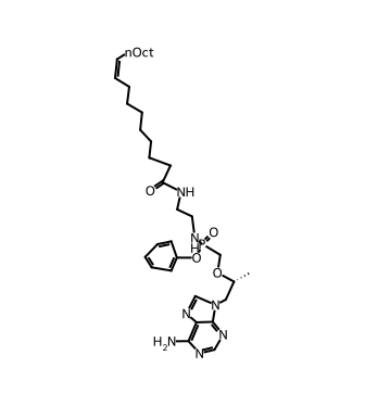 CCCCCCCC/C=C\CCCCCCCC(=O)NCCNP(=O)(CO[C@H](C)Cn1cnc2c(N)ncnc21)Oc1ccccc1